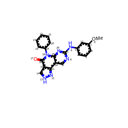 COc1cccc(Nc2ncc3c4n[nH]cc4c(=O)n(-c4ccccc4)c3n2)c1